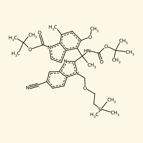 COc1cc(C)c2c(ccn2C(=O)OC(C)(C)C)c1C(C)(NC(=O)OC(C)(C)C)c1nc2cc(C#N)ccc2n1COCC[Si](C)(C)C